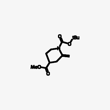 C=C1CC(C(=O)OC)CCN1C(=O)OC(C)(C)C